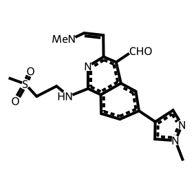 CN/C=C\c1nc(NCCS(C)(=O)=O)c2ccc(-c3cnn(C)c3)cc2c1C=O